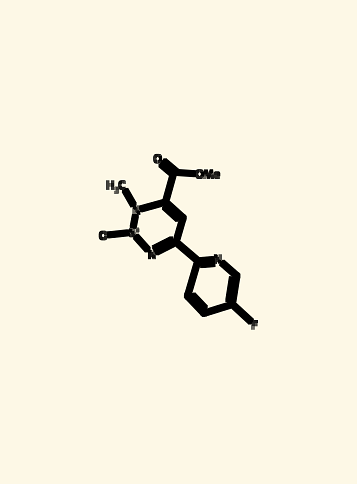 COC(=O)C1=CC(c2ccc(F)cn2)=N[S+]([O-])N1C